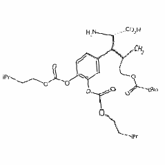 CC(C)CCOC(=O)Oc1ccc(C(C(C)COC(=O)C(C)(C)C)[C@H](N)C(=O)O)cc1OC(=O)OCCC(C)C